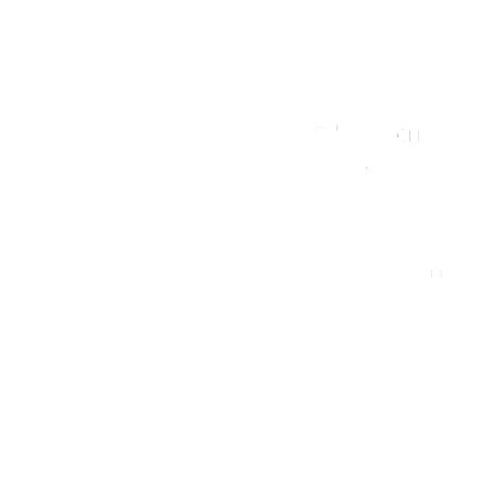 CC1(C)CC(=O)C=C(C=Cc2ccc3ccccc3c2)C1